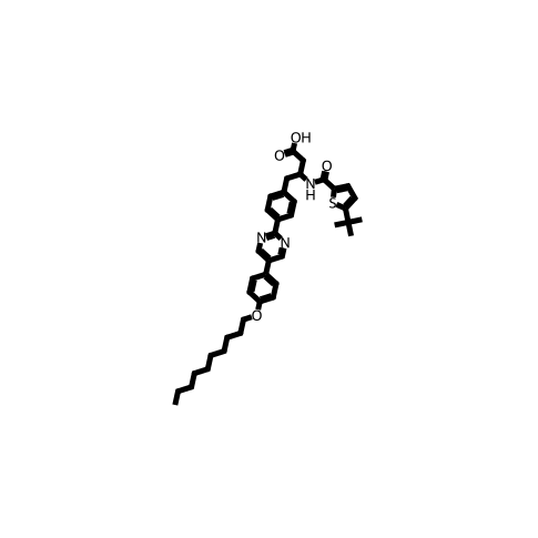 CCCCCCCCCCOc1ccc(-c2cnc(-c3ccc(CC(CC(=O)O)NC(=O)c4ccc(C(C)(C)C)s4)cc3)nc2)cc1